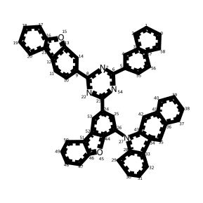 c1ccc2cc(-c3nc(-c4ccc5c(c4)oc4ccccc45)nc(-c4cc(-n5c6ccccc6c6cc7ccccc7cc65)c5oc6ccccc6c5c4)n3)ccc2c1